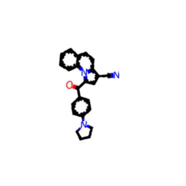 N#Cc1cc(C(=O)c2ccc(N3CCCC3)cc2)n2c1ccc1ccccc12